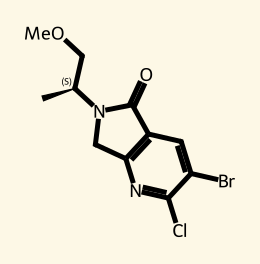 COC[C@H](C)N1Cc2nc(Cl)c(Br)cc2C1=O